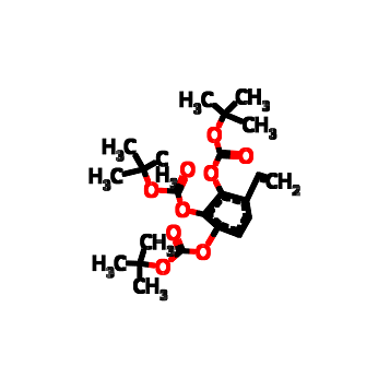 C=Cc1ccc(OC(=O)OC(C)(C)C)c(OC(=O)OC(C)(C)C)c1OC(=O)OC(C)(C)C